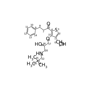 Cc1csc(C(=O)CCc2ccccc2)c1OCC(O)CNCC(C)(C)C.Cl